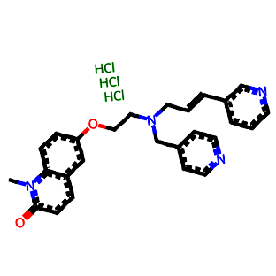 Cl.Cl.Cl.Cn1c(=O)ccc2cc(OCCN(CC=Cc3cccnc3)Cc3ccncc3)ccc21